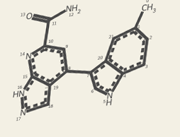 Cc1ccc2[nH]cc(-c3cc(C(N)=O)nc4[nH]ncc34)c2c1